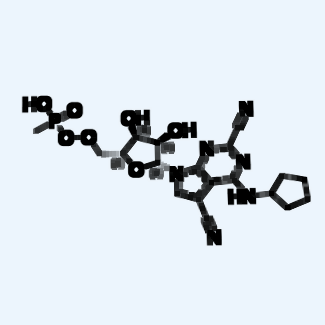 CP(=O)(O)OOC[C@H]1O[C@@H](n2cc(C#N)c3c(NC4CCCC4)nc(C#N)nc32)[C@H](O)[C@@H]1O